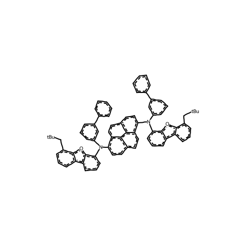 CC(C)(C)Cc1cccc2c1oc1c(N(c3cccc(-c4ccccc4)c3)c3ccc4ccc5c(N(c6cccc(-c7ccccc7)c6)c6cccc7c6oc6c(CC(C)(C)C)cccc67)ccc6ccc3c4c65)cccc12